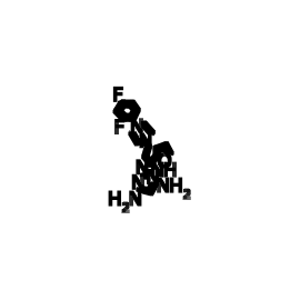 NC1=CC(N)=NC2=NC(CCN3CCN(c4ccc(F)cc4F)CC3)(c3ccco3)NN12